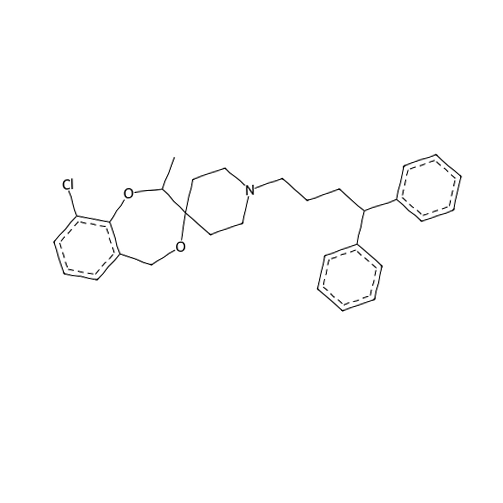 CC1Oc2c(Cl)cccc2COC12CCN(CCCC(c1ccccc1)c1ccccc1)CC2